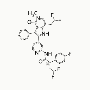 Cn1cc(CC(F)F)c2[nH]c(-c3ccnc(NC(=O)[C@@H](CC(F)F)c4ccc(F)cc4)c3)c(-c3ccccc3)c2c1=O